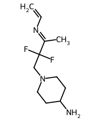 C=C/N=C(\C)C(F)(F)CN1CCC(N)CC1